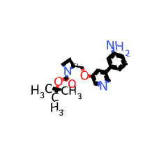 CC(C)(C)OC(=O)N1CC[C@H]1COc1cncc(-c2cccc(N)c2)c1